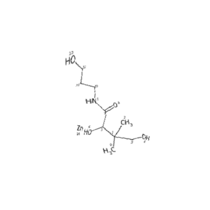 CC(C)(CO)C(O)C(=O)NCCCO.[Zn]